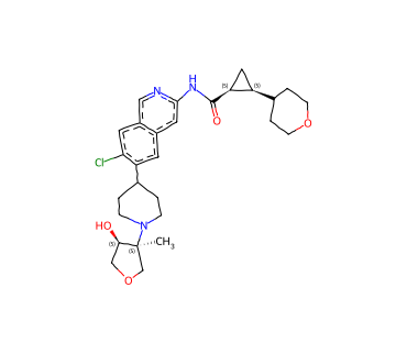 C[C@]1(N2CCC(c3cc4cc(NC(=O)[C@H]5C[C@H]5C5CCOCC5)ncc4cc3Cl)CC2)COC[C@H]1O